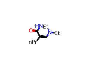 CCCC(=CN(CC)CC)C([NH])=O